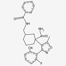 Cc1onc(-c2c(F)cccc2C#N)c1C1(C(N)=O)CCCC(CNC(=O)c2ccccc2)C1